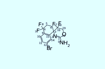 NC1=NC2(CCC(F)(F)c3ccc(Br)cc32)C(F)(F)CO1